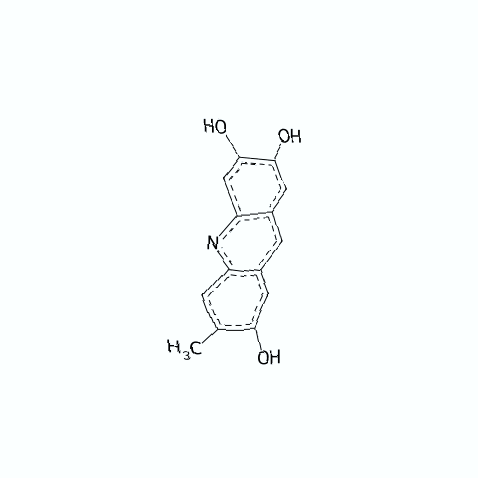 Cc1cc2nc3cc(O)c(O)cc3cc2cc1O